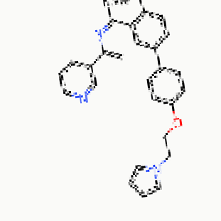 C=C(/N=C(/NC)c1cc(-c2ccc(OCCn3cccc3)cc2)ccc1C)c1cccnc1